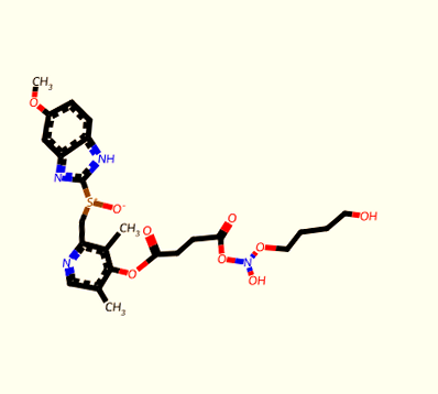 COc1ccc2[nH]c([S+]([O-])Cc3ncc(C)c(OC(=O)CCC(=O)ON(O)OCCCCO)c3C)nc2c1